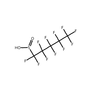 O=S(O)C(F)(F)C(F)(F)C(F)(F)C(F)(F)C(F)(F)F